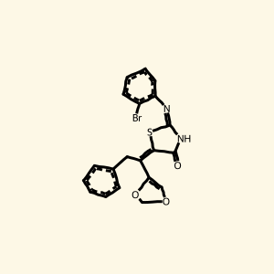 O=C1NC(=Nc2ccccc2Br)SC1=C(Cc1ccccc1)C1=COCO1